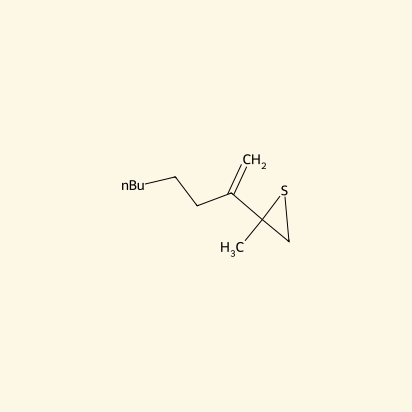 C=C(CCCCCC)C1(C)CS1